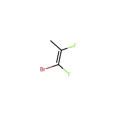 CC(F)=C(F)Br